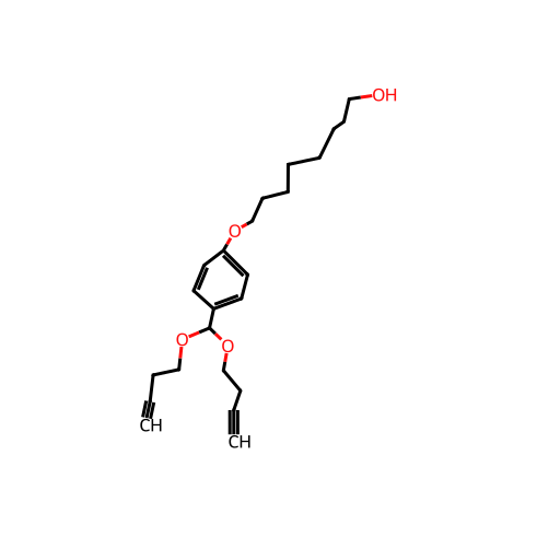 C#CCCOC(OCCC#C)c1ccc(OCCCCCCCCO)cc1